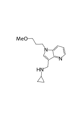 COCCCn1cc(CNC2CC2)c2ncccc21